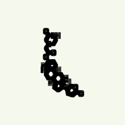 C[C@]12CC[C@H](OC(=O)CN3CCNC(=O)C3)C[C@H]1CC[C@H]1C3=CC[C@H](c4ccc(=O)oc4)[C@@]3(C)CC[C@@H]12